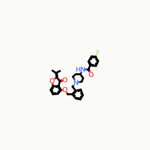 CC(C)=C1Oc2cccc(OCc3ccccc3CN3CCC(NC(=O)c4ccc(F)cc4)CC3)c2C1=O